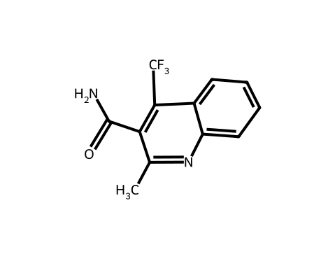 Cc1nc2ccccc2c(C(F)(F)F)c1C(N)=O